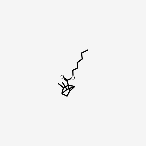 CCCCCCOC(=O)C12C(C)C3CC1C2C3C